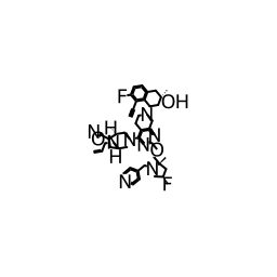 C#Cc1c(F)ccc2c1[C@H](N1CCc3c(nc(OC[C@]4(C)C[C@@H](F)CN4Cc4ccncc4)nc3N3C[C@H]4CC(C#N)[C@@H](C3)N4C(=O)C=C)C1)C[C@](C)(O)C2